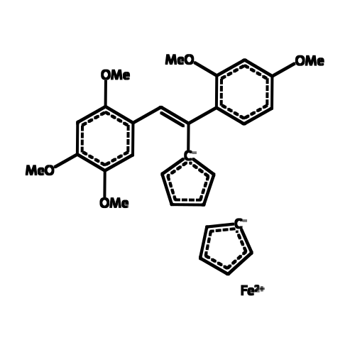 COc1ccc(/C(=C/c2cc(OC)c(OC)cc2OC)[c-]2cccc2)c(OC)c1.[Fe+2].c1cc[cH-]c1